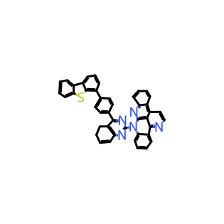 C1=Cc2nc(N3c4ccccc4-c4nccc5c4c3nc3ccccc35)nc(-c3ccc(-c4cccc5c4sc4ccccc45)cc3)c2CC1